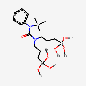 CCO[Si](CCCN(CCC[Si](OCC)(OCC)OCC)C(=O)N(c1ccccc1)[Si](C)(C)C)(OCC)OCC